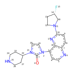 O=c1n(-c2ccnc3ccc(N4CC[C@H](F)C4)nc23)ccn1C1CCNCC1